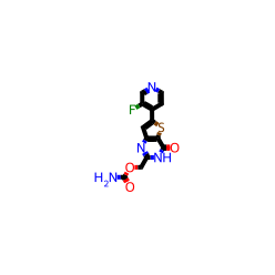 NC(=O)OCc1nc2cc(-c3ccncc3F)sc2c(=O)[nH]1